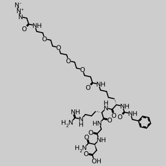 [N-]=[N+]=NCC(=O)NCCOCCOCCOCCOCCC(=O)NCCCC[C@H](NC(=O)NCc1ccccc1)C(=O)N[C@@H](CCCNC(=N)N)C(=O)NCC(=O)N[C@@H](CC(=O)O)C(N)=O